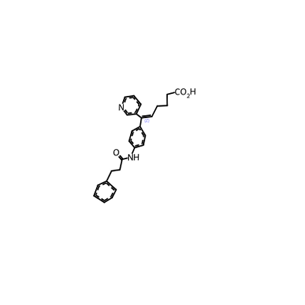 O=C(O)CCC/C=C(/c1ccc(NC(=O)CCc2ccccc2)cc1)c1cccnc1